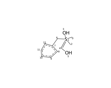 CS(C)(O)(=CO)Cc1ccccc1